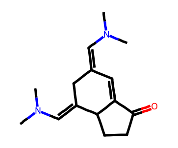 CN(C)C=C1C=C2C(=O)CCC2C(=CN(C)C)C1